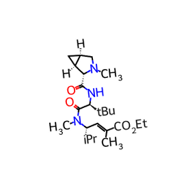 CCOC(=O)/C(C)=C/[C@H](C(C)C)N(C)C(=O)[C@@H](NC(=O)[C@@H]1[C@H]2C[C@H]2CN1C)C(C)(C)C